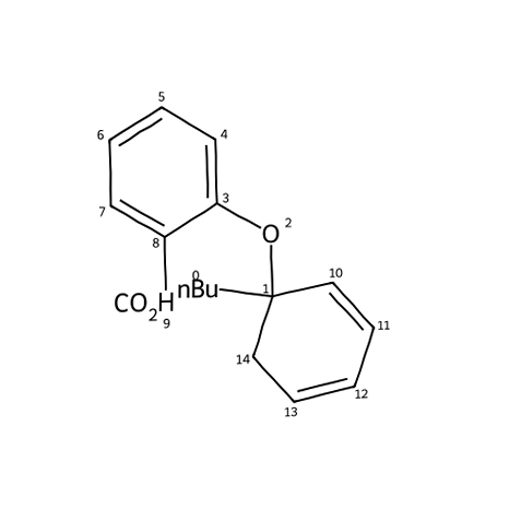 CCCCC1(Oc2ccccc2C(=O)O)C=CC=CC1